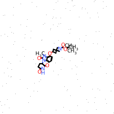 Cn1c(=O)n(C2CCC(=O)NC2=O)c2cccc(OC3CC4(C3)CN(C(=O)OC(C)(C)C)C4)c21